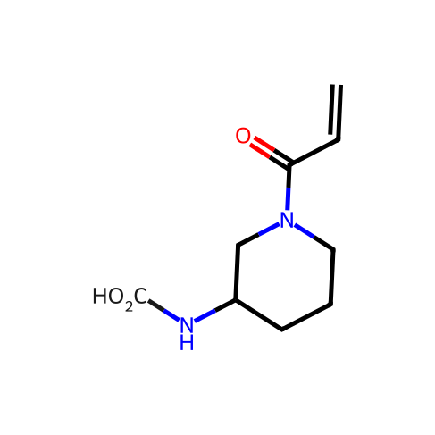 C=CC(=O)N1CCCC(NC(=O)O)C1